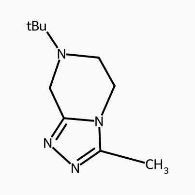 Cc1nnc2n1CCN(C(C)(C)C)C2